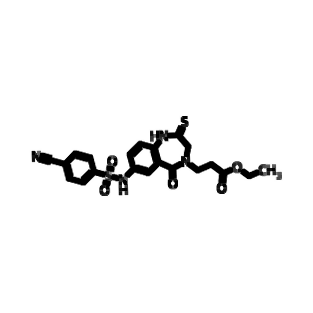 CCOC(=O)CCN1CC(=S)Nc2ccc(NS(=O)(=O)c3ccc(C#N)cc3)cc2C1=O